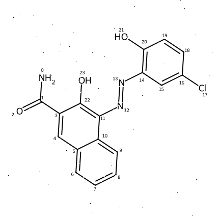 NC(=O)c1cc2ccccc2c(N=Nc2cc(Cl)ccc2O)c1O